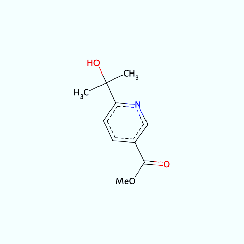 COC(=O)c1ccc(C(C)(C)O)nc1